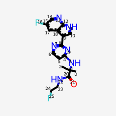 CC(C)(Nc1ccnc(-c2c[nH]c3ncc(F)cc23)n1)C(=O)NCCF